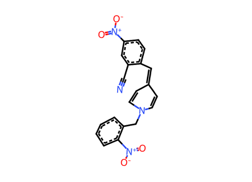 N#Cc1cc([N+](=O)[O-])ccc1C=C1C=CN(Cc2ccccc2[N+](=O)[O-])C=C1